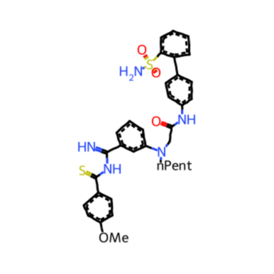 CCCCCN(CC(=O)Nc1ccc(-c2ccccc2S(N)(=O)=O)cc1)c1cccc(C(=N)NC(=S)c2ccc(OC)cc2)c1